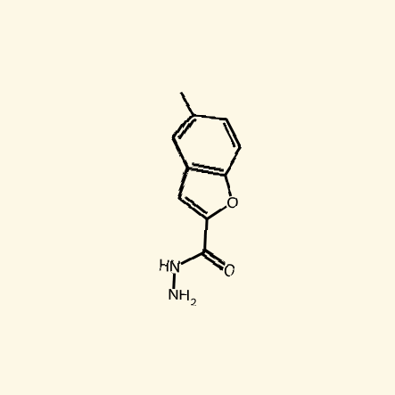 Cc1ccc2oc(C(=O)NN)cc2c1